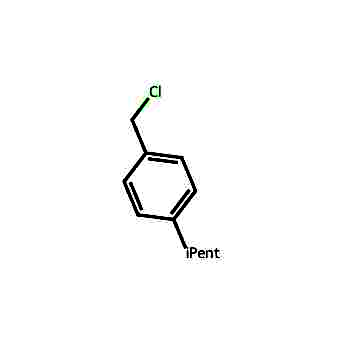 CCCC(C)c1ccc(CCl)cc1